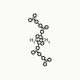 Cc1cc(-c2ccc(N(c3ccccc3)c3ccc(-c4ccc(N(c5ccccc5)c5ccccc5)cc4)cc3)cc2)c2ccccc2c1-c1c(C)cc(-c2ccc(N(c3ccccc3)c3ccc(-c4ccc(N(c5ccccc5)c5ccccc5)cc4)cc3)cc2)c2ccccc12